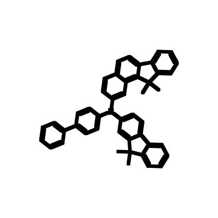 CC1(C)c2ccccc2-c2ccc(N(c3ccc(-c4ccccc4)cc3)c3ccc4ccc5c(c4c3)C(C)(C)c3ccccc3-5)cc21